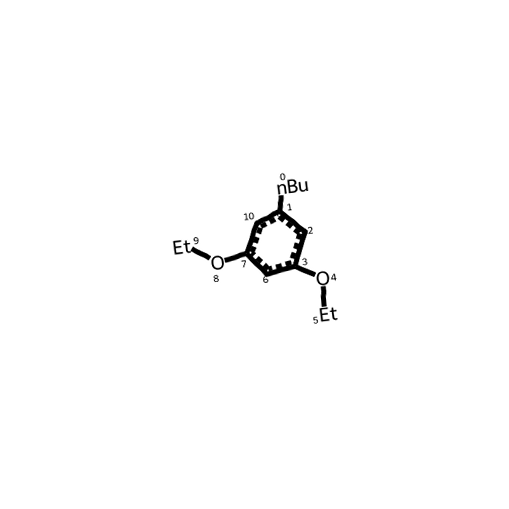 [CH2]CCCc1cc(OCC)cc(OCC)c1